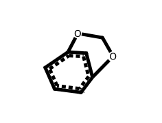 [c]1ccc2cc1OCO2